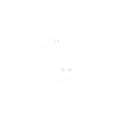 O=CN(NS(=O)(=O)c1ccc(Cl)s1)c1ccc(C(=O)Nc2ccccc2)cc1